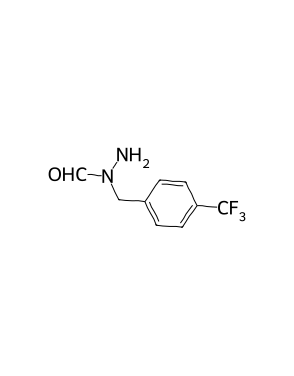 NN(C=O)Cc1ccc(C(F)(F)F)cc1